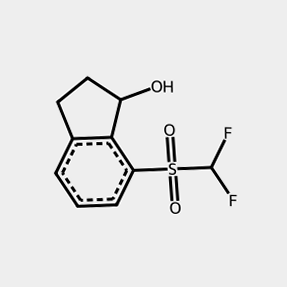 O=S(=O)(c1cccc2c1C(O)CC2)C(F)F